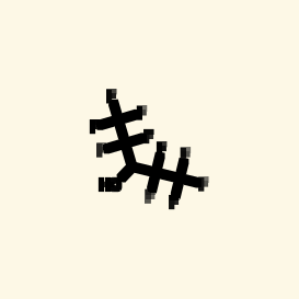 OC(C(F)(F)C(F)(F)F)C(F)(F)C(F)(F)F